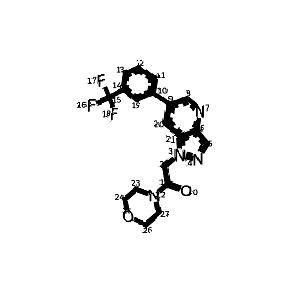 O=C(Cn1ncc2ncc(-c3cccc(C(F)(F)F)c3)cc21)N1CCOCC1